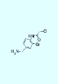 NCc1ccc(NC(=O)CCl)c(Br)c1